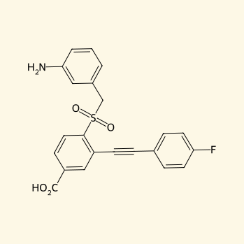 Nc1cccc(CS(=O)(=O)c2ccc(C(=O)O)cc2C#Cc2ccc(F)cc2)c1